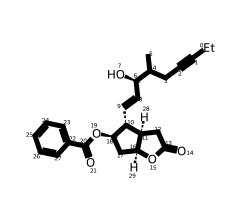 CCC#CCC(C)[C@H](O)C=C[C@@H]1[C@H]2CC(=O)O[C@H]2C[C@H]1OC(=O)c1ccccc1